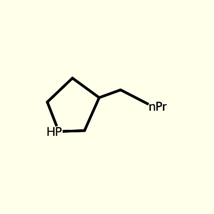 CCCCC1CCPC1